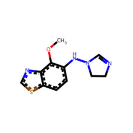 COc1c(NN2C=NCC2)ccc2scnc12